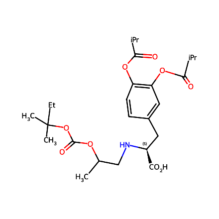 CCC(C)(C)OC(=O)OC(C)CN[C@@H](Cc1ccc(OC(=O)C(C)C)c(OC(=O)C(C)C)c1)C(=O)O